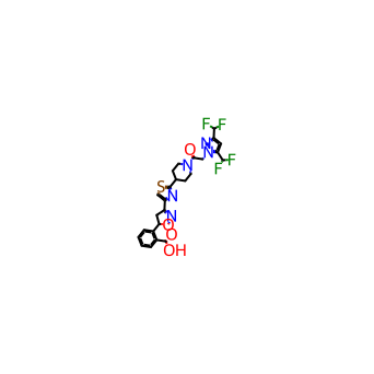 O=C(O)c1ccccc1C1CC(c2csc(C3CCN(C(=O)Cn4nc(C(F)F)cc4C(F)F)CC3)n2)=NO1